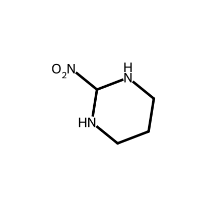 O=[N+]([O-])C1NCCCN1